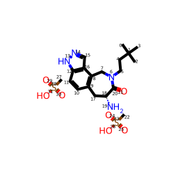 CC(C)(C)CCN1Cc2c(ccc3[nH]ncc23)C[C@@H](N)C1=O.CS(=O)(=O)O.CS(=O)(=O)O